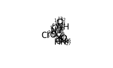 O=C(CCl)N1CCc2c([nH]c3ccccc23)[C@H]1c1ccc(S(=O)(=O)NC2CC2)cc1F